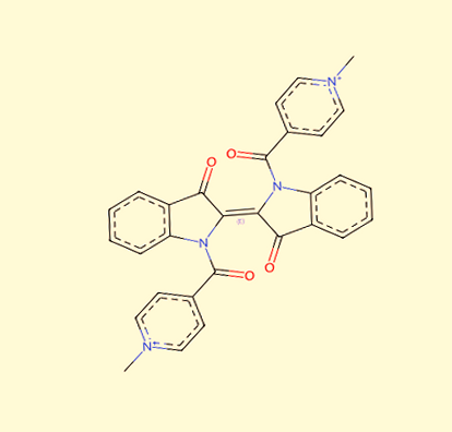 C[n+]1ccc(C(=O)N2/C(=C3\C(=O)c4ccccc4N3C(=O)c3cc[n+](C)cc3)C(=O)c3ccccc32)cc1